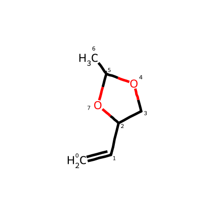 C=CC1CO[C](C)O1